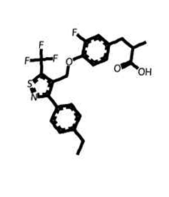 CCc1ccc(-c2nsc(C(F)(F)F)c2COc2ccc(CC(C)C(=O)O)cc2F)cc1